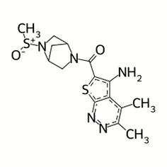 Cc1nnc2sc(C(=O)N3CC4CC3CN4[S+](C)[O-])c(N)c2c1C